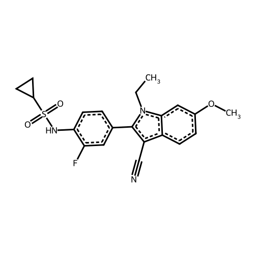 CCn1c(-c2ccc(NS(=O)(=O)C3CC3)c(F)c2)c(C#N)c2ccc(OC)cc21